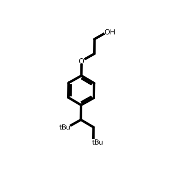 CC(C)(C)CC(c1ccc(OCCO)cc1)C(C)(C)C